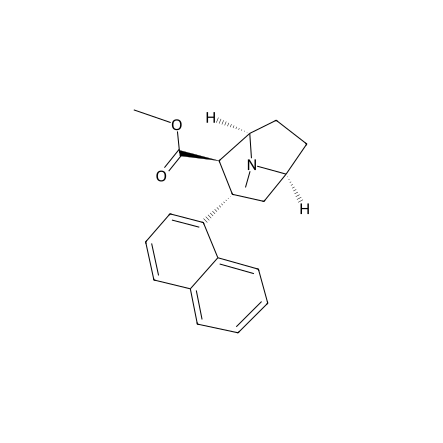 COC(=O)[C@@H]1[C@@H](c2cccc3ccccc23)C[C@@H]2CC[C@H]1N2C